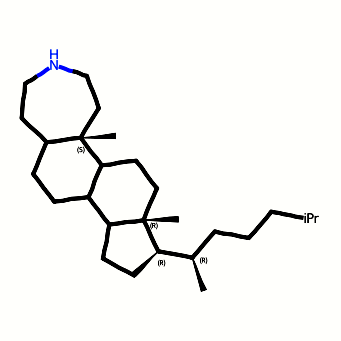 CC(C)CCC[C@@H](C)[C@H]1CCC2C3CCC4CCNCC[C@]4(C)C3CC[C@@]21C